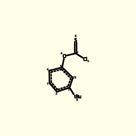 CC(C)(C)c1cccc(OC(=S)Cl)c1